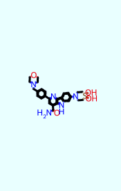 NC(=O)c1cc(-c2ccc(CN3CCOCC3)cc2)nc2c1[nH]c1cc(N3CCS(O)(O)CC3)ccc12